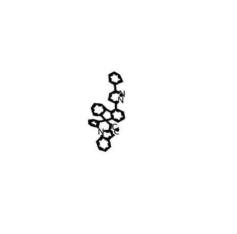 c1ccc(-c2ccc(-c3cccc4c3-c3ccccc3C43c4ccccc4-n4c5ccccc5c5cccc3c54)nn2)cc1